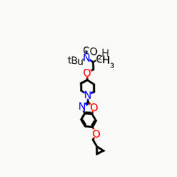 C[C@@H](COC1CCN(c2nc3ccc(OCC4CC4)cc3o2)CC1)N(C(=O)O)C(C)(C)C